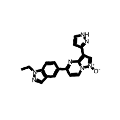 CCn1ncc2cc(-c3ccn4c(n3)c(-c3cc[nH]n3)c[n+]4[O-])ccc21